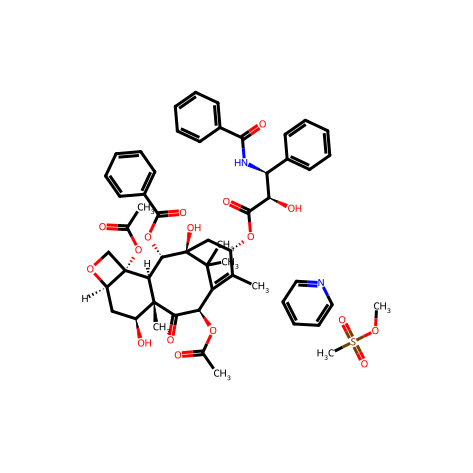 CC(=O)O[C@H]1C(=O)[C@@]2(C)[C@H]([C@H](OC(=O)c3ccccc3)[C@]3(O)C[C@H](OC(=O)[C@H](O)[C@@H](NC(=O)c4ccccc4)c4ccccc4)C(C)=C1C3(C)C)[C@]1(OC(C)=O)CO[C@@H]1C[C@@H]2O.COS(C)(=O)=O.c1ccncc1